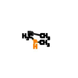 CCC.CPC